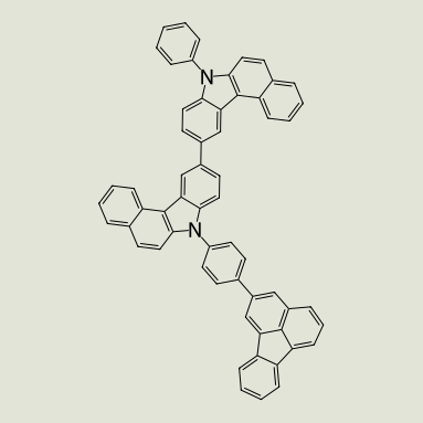 c1ccc(-n2c3ccc(-c4ccc5c(c4)c4c6ccccc6ccc4n5-c4ccc(-c5cc6c7c(cccc7c5)-c5ccccc5-6)cc4)cc3c3c4ccccc4ccc32)cc1